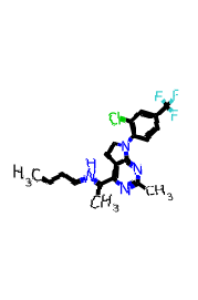 CCCCNC(C)c1nc(C)nc2c1CCN2c1ccc(C(F)(F)F)cc1Cl